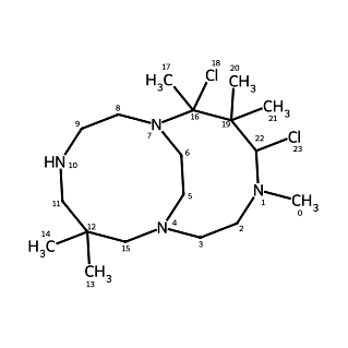 CN1CCN2CCN(CCNCC(C)(C)C2)C(C)(Cl)C(C)(C)C1Cl